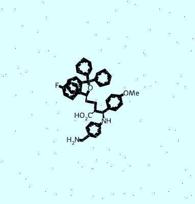 COc1ccc([C@@H](Nc2ccc(CN)cc2)[C@@H](CC[C@H](OC(c2ccccc2)(c2ccccc2)c2ccccc2)c2ccc(F)cc2)C(=O)O)cc1